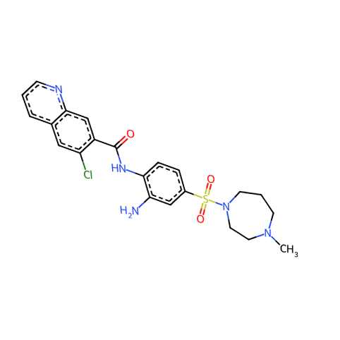 CN1CCCN(S(=O)(=O)c2ccc(NC(=O)c3cc4ncccc4cc3Cl)c(N)c2)CC1